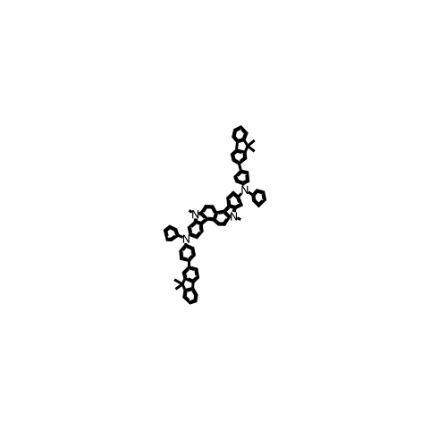 Cn1c2cc(N(c3ccccc3)c3ccc(-c4ccc5c(c4)C(C)(C)c4ccccc4-5)cc3)ccc2c2c3ccc4c(c3ccc21)c1ccc(N(c2ccccc2)c2ccc(-c3ccc5c(c3)C(C)(C)c3ccccc3-5)cc2)cc1n4C